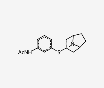 CC(=O)Nc1cccc(SC2CC3CCC(C2)N3C)c1